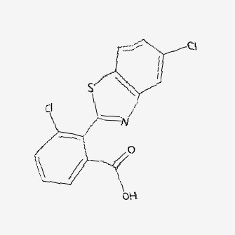 O=C(O)c1cccc(Cl)c1-c1nc2cc(Cl)ccc2s1